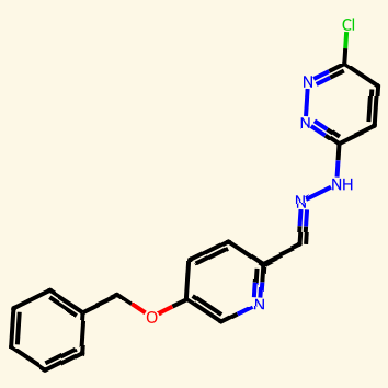 Clc1ccc(N/N=C/c2ccc(OCc3ccccc3)cn2)nn1